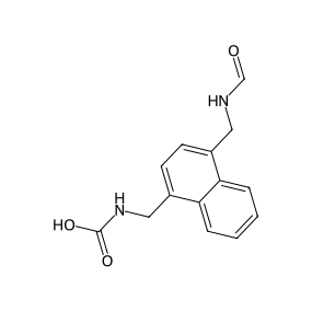 O=CNCc1ccc(CNC(=O)O)c2ccccc12